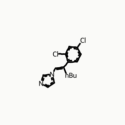 CCCC/C(=C\n1ccnc1)c1ccc(Cl)cc1Cl